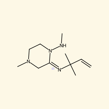 C=CC(C)(C)/N=C1/CN(C)CCN1NC